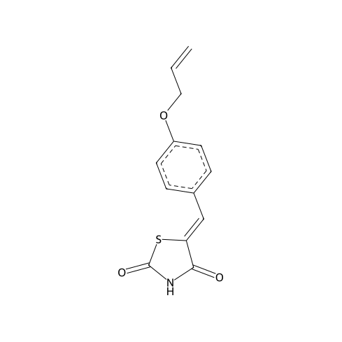 C=CCOc1ccc(/C=C2\SC(=O)NC2=O)cc1